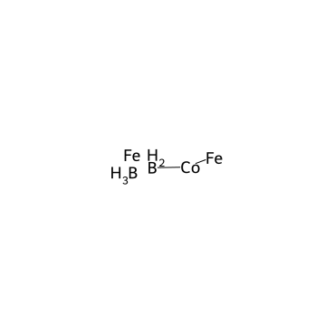 B.[BH2][Co][Fe].[Fe]